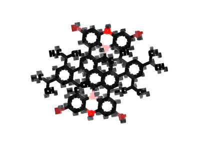 CC(C)c1cc(C(C)C)c(-c2cc3c4c(cc5c(-c6c(C(C)C)cc(C(C)C)cc6C(C)C)cc6c7c(cc2c4c57)B2c4ccc(Br)cc4Oc4cc(Br)cc-6c42)B2c4ccc(Br)cc4Oc4cc(Br)cc-3c42)c(C(C)C)c1